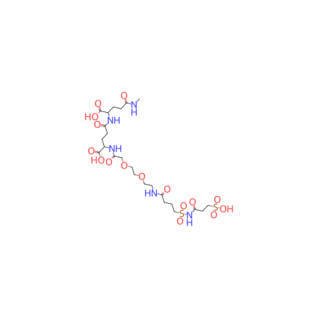 CNC(=O)CCC(NC(=O)CCC(NC(=O)COCCOCCNC(=O)CCCS(=O)(=O)NC(=O)CCS(=O)(=O)O)C(=O)O)C(=O)O